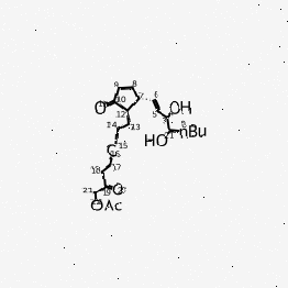 CCCCC(O)C(O)/C=C/[C@H]1C=CC(=O)[C@@H]1CCCCCCC(=O)COC(C)=O